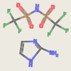 Nc1ncc[nH]1.O=S(=O)(NS(=O)(=O)C(F)(F)F)C(F)(F)F